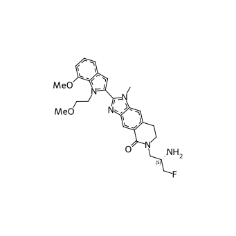 COCCn1c(-c2nc3cc4c(cc3n2C)CCN(C[C@H](N)CF)C4=O)cc2cccc(OC)c21